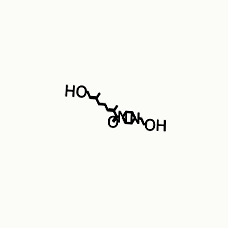 C/C(=C\CO)CC/C=C(\C)C(=O)N1CCN(CCO)CC1